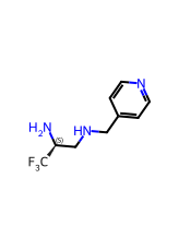 N[C@@H](CNCc1ccncc1)C(F)(F)F